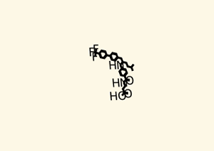 CC(C)CCC(Cc1ccc(-c2ccc(C(F)(F)F)cc2)cc1)Nc1ccc(C(=O)NCCC(=O)O)cc1